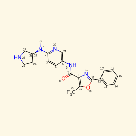 CN(c1ccc(NC(=O)c2nc(-c3ccccc3)oc2C(F)(F)F)cn1)[C@H]1CCNC1